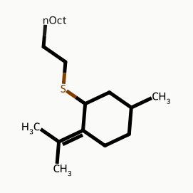 CCCCCCCCCCSC1CC(C)CCC1=C(C)C